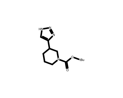 CC(C)(C)OC(=O)N1CCCC(c2c[nH]nn2)C1